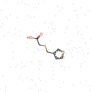 O=C(O)CSCc1ccsc1